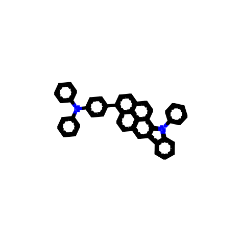 c1ccc(N(c2ccccc2)c2ccc(-c3ccc4ccc5c6c(ccc3c46)cc3c4ccccc4n(-c4ccccc4)c35)cc2)cc1